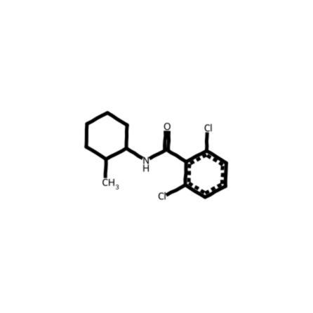 CC1CCCCC1NC(=O)c1c(Cl)cccc1Cl